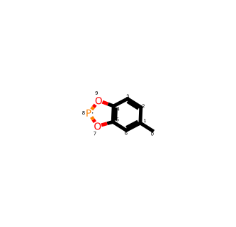 Cc1ccc2c(c1)O[P]O2